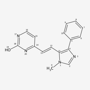 Cn1cnc(-c2ccccc2)c1/C=C/c1ccnc(O)n1